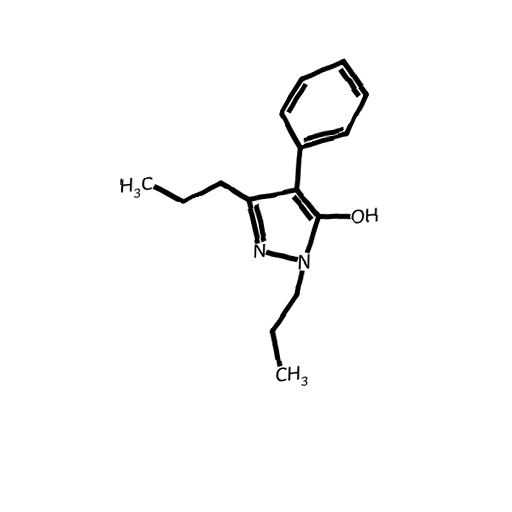 CCCc1nn(CCC)c(O)c1-c1ccccc1